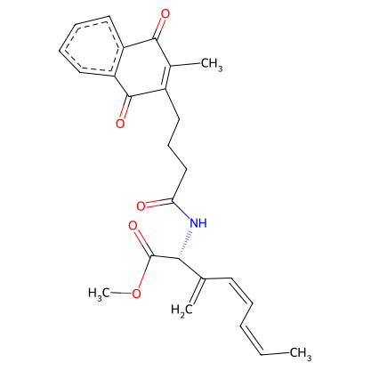 C=C(/C=C\C=C/C)[C@@H](NC(=O)CCCC1=C(C)C(=O)c2ccccc2C1=O)C(=O)OC